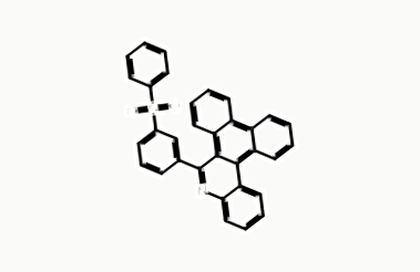 O=S(=O)(c1ccccc1)c1cccc(-c2nc3ccccc3c3c4ccccc4c4ccccc4c23)c1